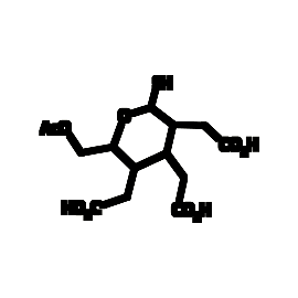 CC(=O)OCC1OC(S)C(CC(=O)O)C(CC(=O)O)C1CC(=O)O